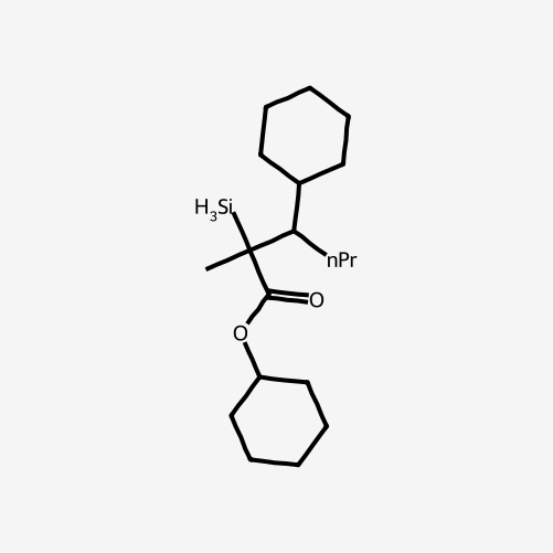 CCCC(C1CCCCC1)C(C)([SiH3])C(=O)OC1CCCCC1